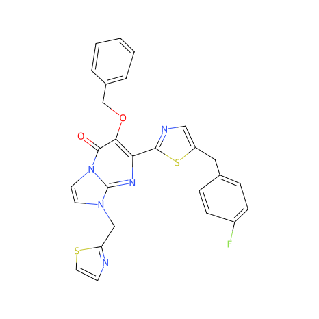 O=c1c(OCc2ccccc2)c(-c2ncc(Cc3ccc(F)cc3)s2)nc2n(Cc3nccs3)ccn12